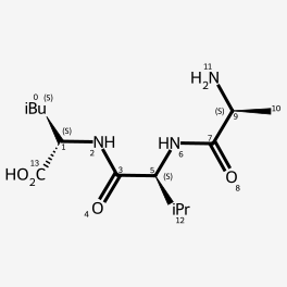 CC[C@H](C)[C@H](NC(=O)[C@@H](NC(=O)[C@H](C)N)C(C)C)C(=O)O